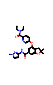 CCN(CC)C(=O)c1ccc(Oc2cc(C(=O)Nc3ccn(C)n3)cc3c2CC(C)(C)O3)cn1